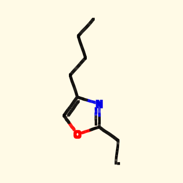 [CH2]Cc1nc(CCCC)co1